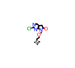 C[Si](C)(C)CCOCN1C(=O)Cc2cnc(Cl)nc21